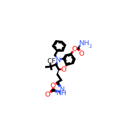 CC(C)(C1[C@H](CCc2n[nH]c(=O)o2)Oc2ccc(OC(N)=O)cc2N1Cc1ccccc1)C(F)(F)F